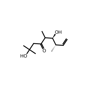 C=C[C@H](C)[C@H](O)C(C)C(=O)CC(C)(C)O